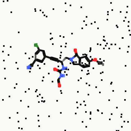 COc1ccc2c(c1)C(=O)N(C[C@@H](C#Cc1cc(Cl)cc(C#N)c1)NC(=O)NC=O)C2